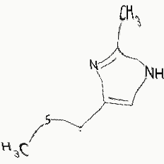 CS[CH]c1c[nH]c(C)n1